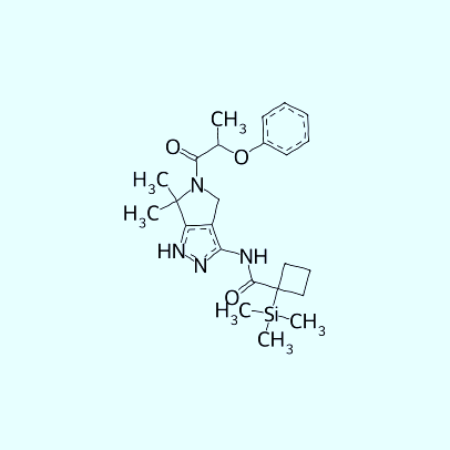 CC(Oc1ccccc1)C(=O)N1Cc2c(NC(=O)C3([Si](C)(C)C)CCC3)n[nH]c2C1(C)C